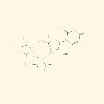 CC(C)[Si]1(C(C)C)OC[C@H]2S[C@@H](n3ccc(=O)[nH]c3=O)[C@H](C=O)[C@@H]2O[Si](C(C)C)(C(C)C)O1